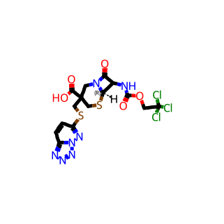 O=C(NC1C(=O)N2CC(CSc3ccc4nnnn4n3)(C(=O)O)CS[C@H]12)OCC(Cl)(Cl)Cl